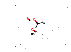 CCC(=O)C(C)=O.[C]=O.[C]=O.[Rh]